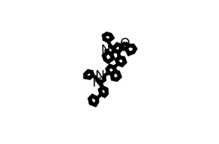 c1ccc(-c2cccc(-c3cc(-c4ccc(-c5cccc(-c6c7c(cc8c(-c9ccccc9)nc9ccccc9c68)oc6ccccc67)c5)c5ccccc45)nc(-c4ccccc4)n3)c2)cc1